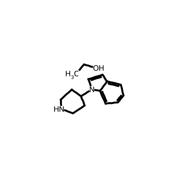 CCO.c1ccc2c(c1)ccn2C1CCNCC1